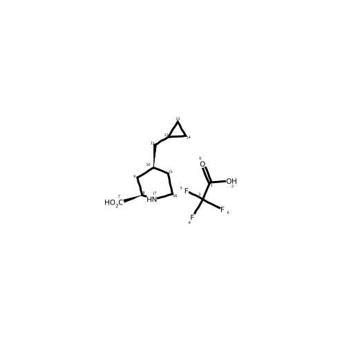 O=C(O)C(F)(F)F.O=C(O)[C@H]1C[C@@H](CC2CC2)CCN1